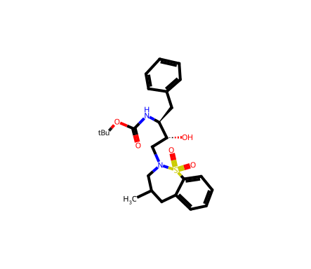 CC1Cc2ccccc2S(=O)(=O)N(C[C@@H](O)[C@H](Cc2ccccc2)NC(=O)OC(C)(C)C)C1